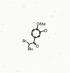 CCC(C)C(Br)C(=O)c1ccc(OC)c(Cl)c1